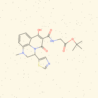 CN1CC(c2cncs2)n2c(=O)c(C(=O)NCC(=O)OC(C)(C)C)c(O)c3cccc1c32